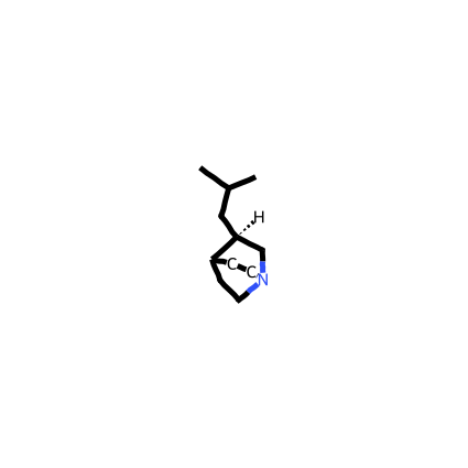 CC(C)C[C@H]1CN2CCC1CC2